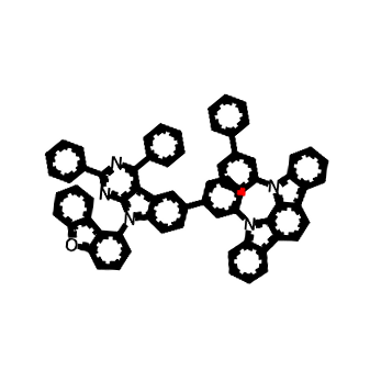 c1ccc(-c2cccc(-n3c4ccccc4c4ccc5c6ccccc6n(-c6cccc(-c7ccc8c(c7)c7c(-c9ccccc9)nc(-c9ccccc9)nc7n8-c7cccc8oc9ccccc9c78)c6)c5c43)c2)cc1